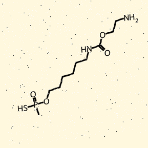 CP(=O)(S)OCCCCCCNC(=O)OCCN